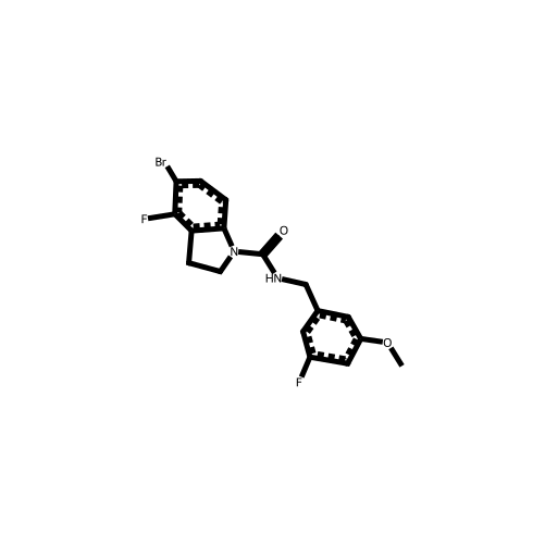 COc1cc(F)cc(CNC(=O)N2CCc3c2ccc(Br)c3F)c1